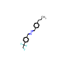 CCCc1ccc(/C=N/N=C/c2ccc(C(F)(F)CF)cc2)cc1